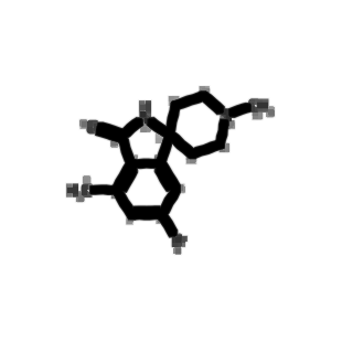 Cc1cc(Br)cc2c1C(=O)NC21CCN(C)CC1